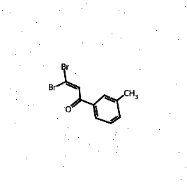 Cc1cccc(C(=O)C=C(Br)Br)c1